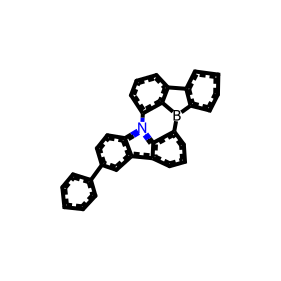 c1ccc(-c2ccc3c(c2)c2cccc4c2n3-c2cccc3c2B4c2ccccc2-3)cc1